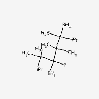 BC(B)(C(C)C)C(C)(C)C(B)(F)C(C)(C)C(C)C